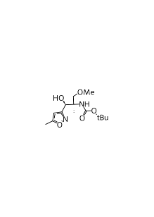 COC[C@@](C)(NC(=O)OC(C)(C)C)[C@H](O)c1cc(C)on1